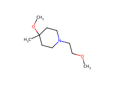 COCCN1CCC(C)(OC)CC1